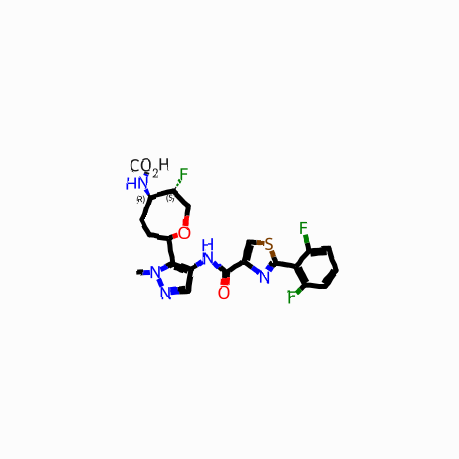 Cn1ncc(NC(=O)c2csc(-c3c(F)cccc3F)n2)c1C1CC[C@@H](NC(=O)O)[C@H](F)CO1